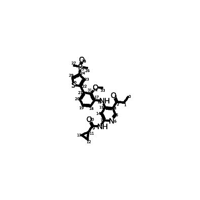 CCC(=O)c1cnc(NC(=O)C2CC2)cc1Nc1cccc(-c2cc(P(C)(C)=O)cs2)c1OC